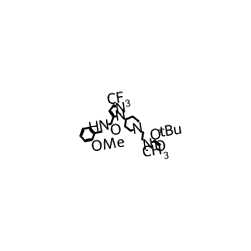 COc1ccccc1CNC(=O)c1cc(C(F)(F)F)nn1C1CCN(CCN(C)C(=O)OC(C)(C)C)CC1